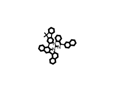 CC1(C)c2ccccc2-c2ccc(-c3c4ccccc4cc4c5c6ccccc6ccc5n(-c5nc(-c6ccc7ccccc7c6)c6ccccc6n5)c34)cc21